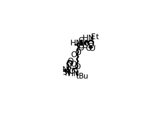 CCN[C@H]1C[C@H](C)S(=O)(=O)c2sc(S(=O)(=O)NC(C)C(=O)COC(=O)CCCC(=O)O[C@@H](CNC(C)(C)C)COc3nsnc3N3CCOCC3)cc21